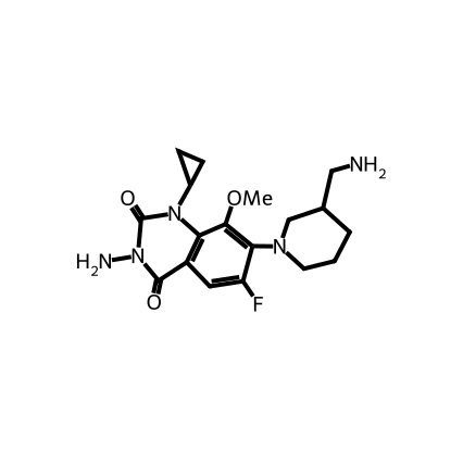 COc1c(N2CCCC(CN)C2)c(F)cc2c(=O)n(N)c(=O)n(C3CC3)c12